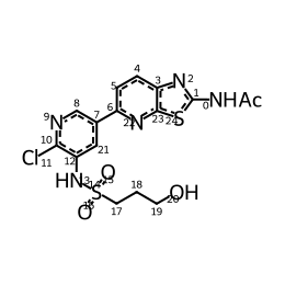 CC(=O)Nc1nc2ccc(-c3cnc(Cl)c(NS(=O)(=O)CCCO)c3)nc2s1